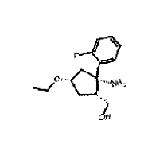 CCO[C@H]1C[C@@H](CO)[C@](N)(c2ccccc2F)C1